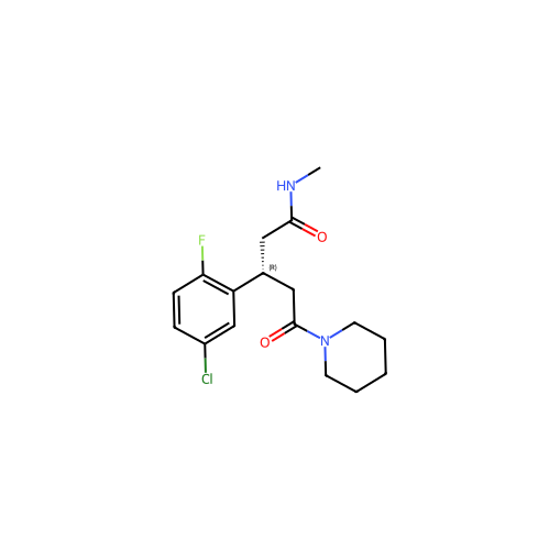 CNC(=O)C[C@H](CC(=O)N1CCCCC1)c1cc(Cl)ccc1F